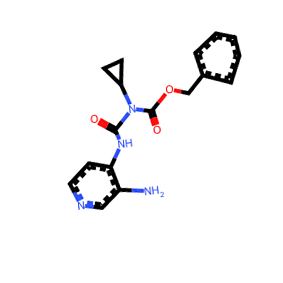 Nc1cnccc1NC(=O)N(C(=O)OCc1ccccc1)C1CC1